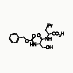 CC(C)CC(NC(=O)C(CO)NC(=O)OCc1ccccc1)C(=O)O